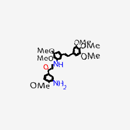 COc1ccc(C(=O)C=CNc2cc(C=Cc3cc(OC)c(OC)c(OC)c3)cc(OC)c2OC)cc1N